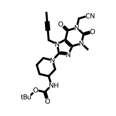 CC#CCn1c(N2CCCC(NC(=O)OC(C)(C)C)C2)nc2c1c(=O)n(CC#N)c(=O)n2C